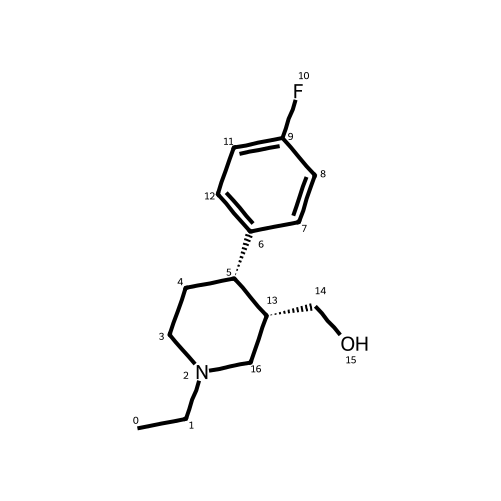 CCN1CC[C@H](c2ccc(F)cc2)[C@H](CO)C1